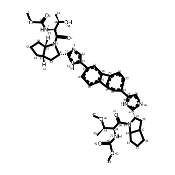 COC(=O)N[C@H](C(=O)N1[C@H](c2ncc(-c3ccc4c(c3)-c3ccc(-c5cnc([C@@H]6CC7CCCC7N6C(=O)[C@@H](NC(=O)OC)[C@@H](C)OC)[nH]5)cc3-4)[nH]2)C[C@@H]2CCC[C@@H]21)[C@@H](C)O